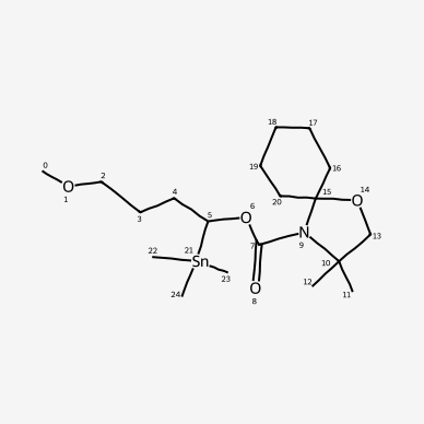 COCCC[CH](OC(=O)N1C(C)(C)COC12CCCCC2)[Sn]([CH3])([CH3])[CH3]